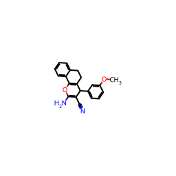 COc1cccc(C2C(C#N)=C(N)OC3=C2CCc2ccccc23)c1